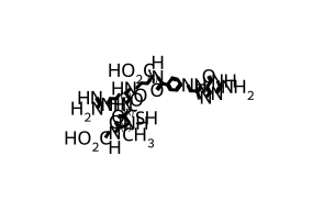 C[C@H](NC(=O)[C@H](CS)NC(=O)[C@H](CCCNC(=N)N)NC(=O)CC[C@H](NC(=O)c1ccc(NCc2cnc3nc(N)[nH]c(=O)c3n2)cc1)C(=O)O)C(=O)NCC(=O)O